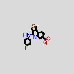 COC(=O)c1ccc2c(c1)nc(Nc1ccc(F)cc1)c1cscc12